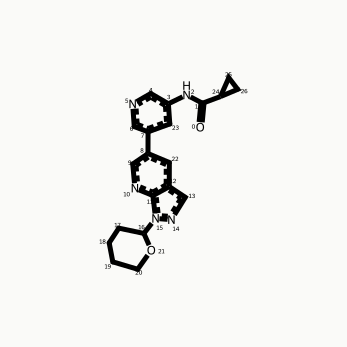 O=C(Nc1cncc(-c2cnc3c(cnn3C3CCCCO3)c2)c1)C1CC1